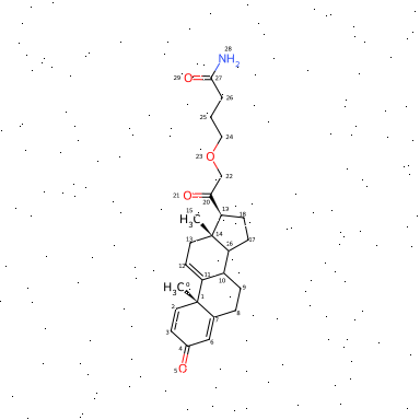 C[C@]12C=CC(=O)C=C1CCC1C2=CC[C@@]2(C)C1CC[C@@H]2C(=O)COCCCC(N)=O